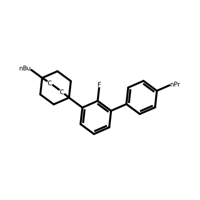 CCCCC12CCC(c3cccc(-c4ccc(CCC)cc4)c3F)(CC1)CC2